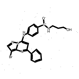 [O-][S+](NCCCO)c1ccc(Nc2cc(-c3ccccc3)nc3c(Br)cnn23)cc1